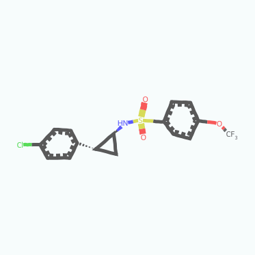 O=S(=O)(N[C@H]1C[C@@H]1c1ccc(Cl)cc1)c1ccc(OC(F)(F)F)cc1